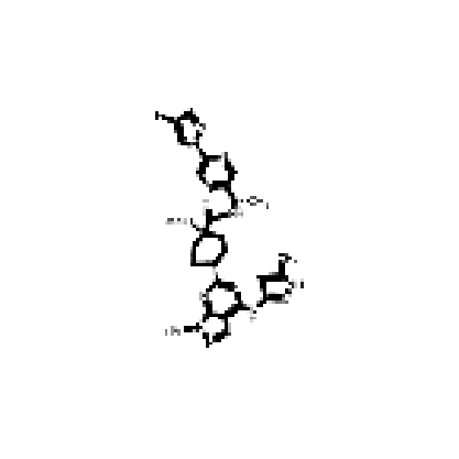 CCCn1ncc2c(Nc3cc(C)[nH]n3)nc([C@H]3CC[C@@](OC)(C(=O)N[C@@H](C)c4cnc(-n5cc(F)cn5)cn4)CC3)nc21